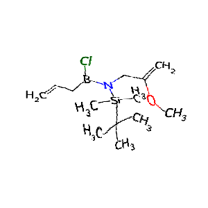 C=CCB(Cl)N(CC(=C)OC)[Si](C)(C)C(C)(C)C